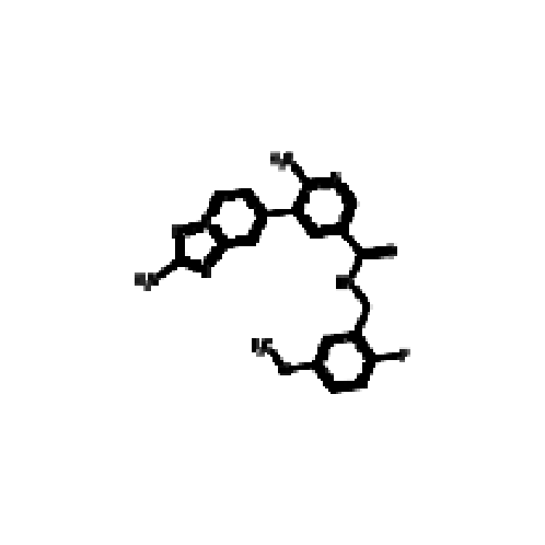 Cc1ncc(C(=O)NCc2cc(OC(F)(F)F)ccc2F)cc1-c1ccn2nc(N)nc2c1